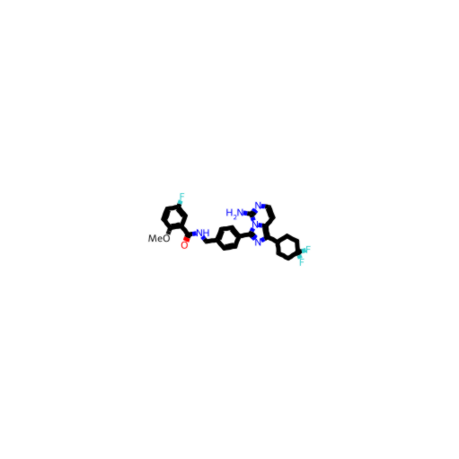 COc1ccc(F)cc1C(=O)NCc1ccc(-c2nc(C3CCC(F)(F)CC3)c3ccnc(N)n23)cc1